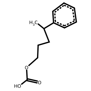 CC(CCCOC(=O)O)c1ccccc1